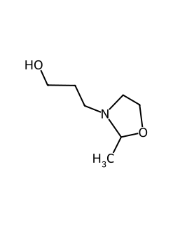 CC1OCCN1CCCO